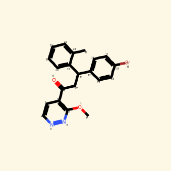 COc1nnccc1C(=O)CC(c1ccc(Br)cc1)c1ccccc1C